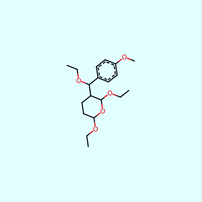 CCOC1CCC(C(OCC)c2ccc(OC)cc2)C(OCC)O1